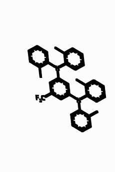 Cc1ccccc1N(c1cc(N(c2ccccc2C)c2ccccc2C)cc(C(F)(F)F)c1)c1ccccc1C